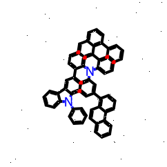 c1ccc(-c2cccc3cccc(-c4ccccc4N(c4cccc(-c5cccc6c5ccc5ccccc56)c4)c4ccccc4-c4ccc5c(c4)c4ccccc4n5-c4ccccc4)c23)cc1